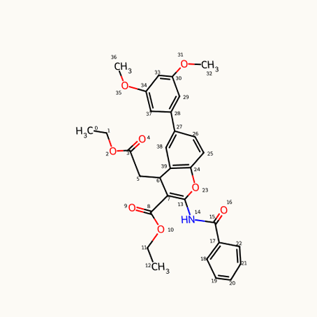 CCOC(=O)CC1C(C(=O)OCC)=C(NC(=O)c2ccccc2)Oc2ccc(-c3cc(OC)cc(OC)c3)cc21